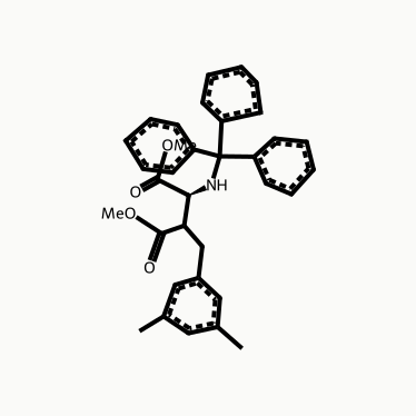 COC(=O)C(Cc1cc(C)cc(C)c1)[C@H](NC(c1ccccc1)(c1ccccc1)c1ccccc1)C(=O)OC